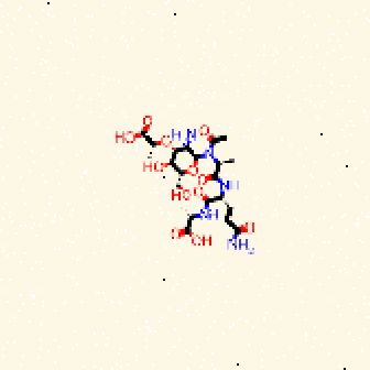 CC(=O)N(C1O[C@H](CO)[C@@H](O)[C@H](O[C@H](C)C(=O)O)[C@H]1N)[C@@H](C)C(=O)N[C@H](CCC(N)=O)C(=O)N[C@@H](C)C(=O)O